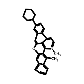 Cc1c2c(cc3ccccc13)Oc1cc3cc(C4CCCCC4)ccc3c3cc[n+](C)c-2c13